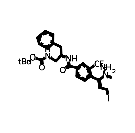 CN(N)/C(=C\CI)c1ccc(C(=O)NC(CNC(=O)OC(C)(C)C)Cc2ccccc2)cc1C(F)(F)F